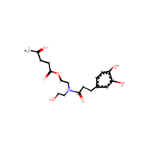 CC(=O)CCC(=O)OCCN(CCO)C(=O)CCc1ccc(O)c(O)c1